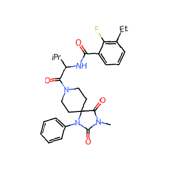 CCc1cccc(C(=O)NC(C(=O)N2CCC3(CC2)C(=O)N(C)C(=O)N3c2ccccc2)C(C)C)c1F